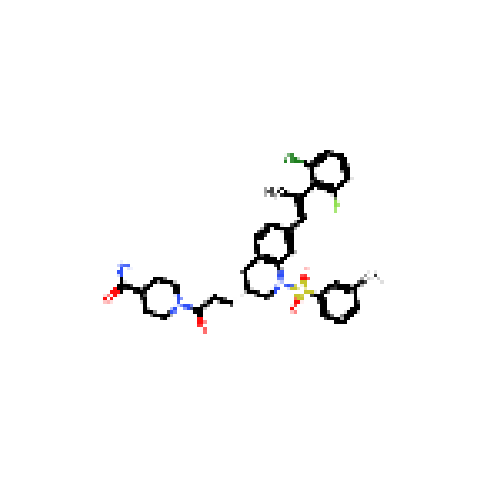 C/C(=C\c1ccc2c(c1)N(S(=O)(=O)c1cccc(C(F)(F)F)c1)C[C@H](CCC(=O)N1CCC(C(N)=O)CC1)C2)c1c(F)cccc1Cl